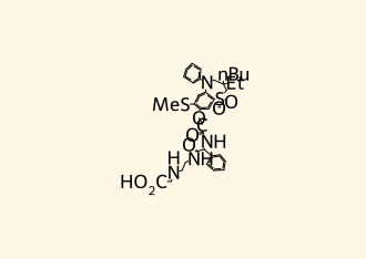 CCCCC1(CC)CN(c2ccccc2)c2cc(SC)c(OCC(=O)N[C@@H](C(=O)NCCNCC(=O)O)c3ccccc3)cc2S(=O)(=O)C1